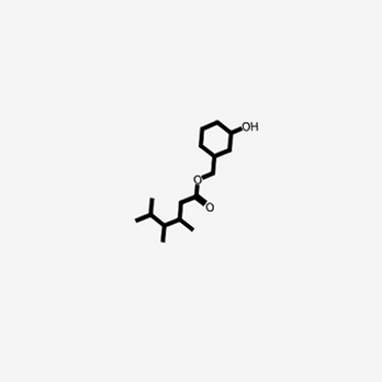 CC(C)C(C)C(C)CC(=O)OCC1CCCC(O)C1